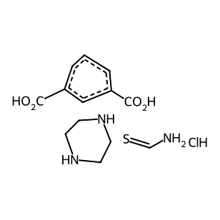 C1CNCCN1.Cl.NC=S.O=C(O)c1cccc(C(=O)O)c1